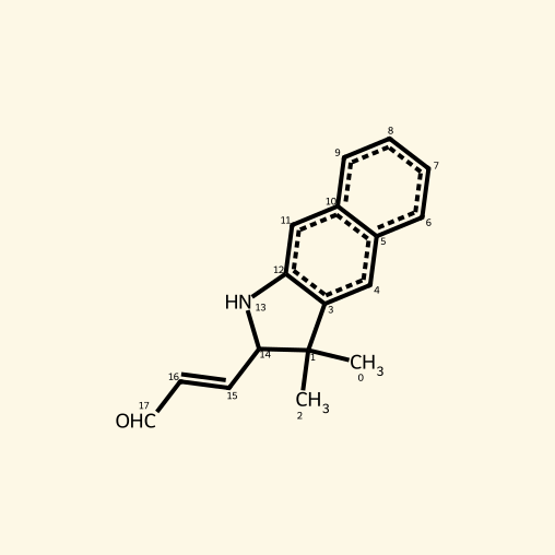 CC1(C)c2cc3ccccc3cc2NC1C=CC=O